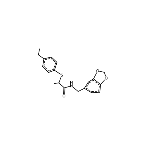 CCc1ccc(SC(C)C(=O)NCc2ccc3c(c2)OCO3)cc1